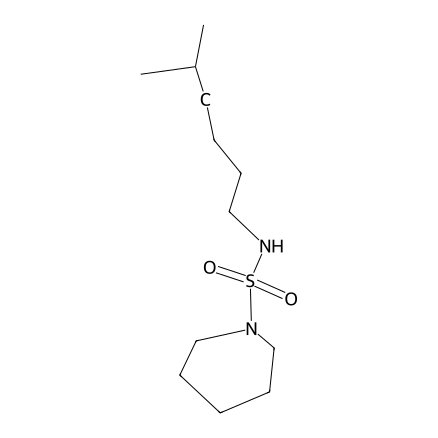 CC(C)CCCCNS(=O)(=O)N1CCCCC1